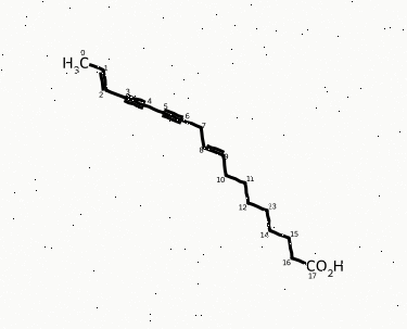 CC=CC#CC#CCC=CCCCCCCCC(=O)O